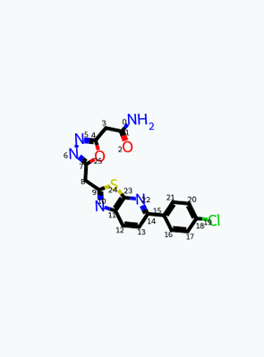 NC(=O)Cc1nnc(Cc2nc3ccc(-c4ccc(Cl)cc4)nc3s2)o1